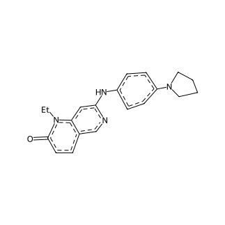 CCn1c(=O)ccc2cnc(Nc3ccc(N4CCCC4)cc3)cc21